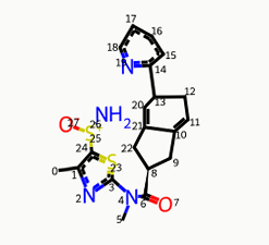 Cc1nc(N(C)C(=O)[C@@H]2CC3=CCC(c4ccccn4)C=C3C2)sc1[S+](N)[O-]